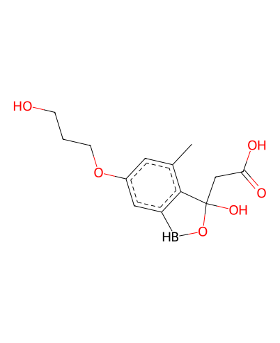 Cc1cc(OCCCO)cc2c1C(O)(CC(=O)O)OB2